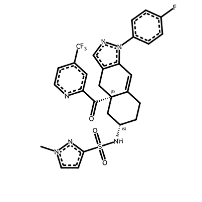 Cn1ccc(S(=O)(=O)N[C@H]2CCC3=Cc4c(cnn4-c4ccc(F)cc4)C[C@]3(C(=O)c3cc(C(F)(F)F)ccn3)C2)n1